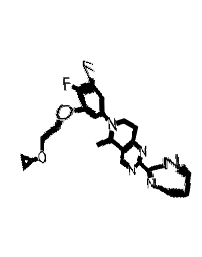 CC1c2cnc(-c3ncccn3)nc2CCN1c1cc(F)c(F)c(OCCOC2CC2)c1